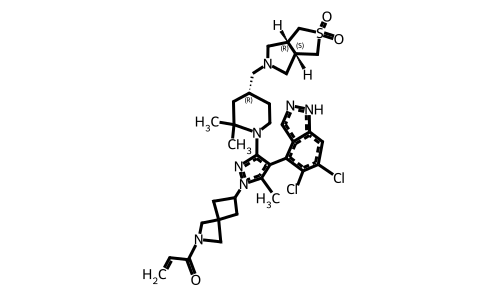 C=CC(=O)N1CC2(CC(n3nc(N4CC[C@@H](CN5C[C@@H]6CS(=O)(=O)C[C@@H]6C5)CC4(C)C)c(-c4c(Cl)c(Cl)cc5[nH]ncc45)c3C)C2)C1